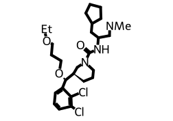 CCOCCCO[C@@H](c1cccc(Cl)c1Cl)[C@@H]1CCCN(C(=O)NC(CNC)CC2CCCC2)C1